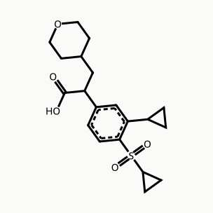 O=C(O)C(CC1CCOCC1)c1ccc(S(=O)(=O)C2CC2)c(C2CC2)c1